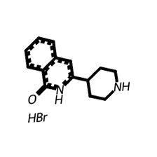 Br.O=c1[nH]c(C2CCNCC2)cc2ccccc12